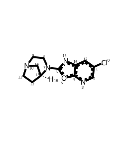 Clc1cnc2oc(N3CCN4CC[C@H]3C4)nc2c1